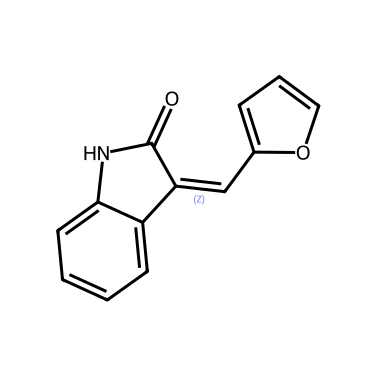 O=C1Nc2ccccc2/C1=C/c1ccco1